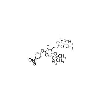 CC(C)(C)OC(=O)CCC(NC(=O)Oc1ccc([N+](=O)[O-])cc1)C(=O)OC(C)(C)C